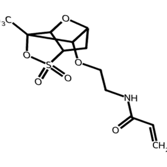 C=CC(=O)NCCOC1C2CC3C(O2)C1(C)OS3(=O)=O